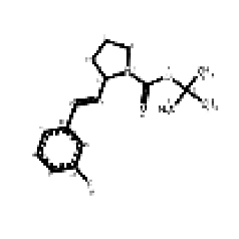 CC(C)(C)OC(=O)N1CCCC1C=Cc1cccc(F)c1